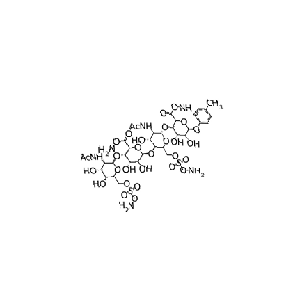 CC(=O)NC1C(O[C@@H]2C(C(=O)ON)O[C@@H](O[C@@H]3C(COS(=O)(=O)ON)O[C@@H](O[C@H]4C(C(=O)ON)O[C@@H](Oc5ccc(C)cc5)C(O)[C@@H]4O)C(NC(C)=O)[C@H]3O)C(O)[C@@H]2O)OC(COS(=O)(=O)ON)[C@@H](O)[C@@H]1O